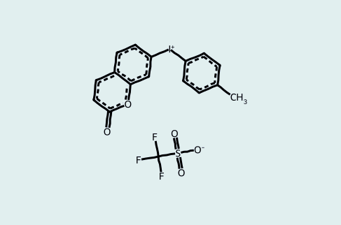 Cc1ccc([I+]c2ccc3ccc(=O)oc3c2)cc1.O=S(=O)([O-])C(F)(F)F